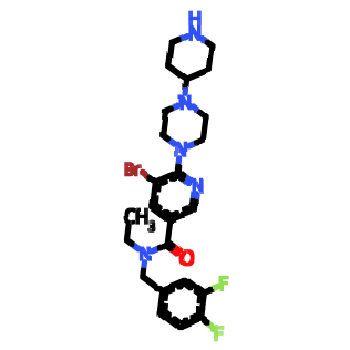 CCN(Cc1ccc(F)c(F)c1)C(=O)c1cnc(N2CCN(C3CCNCC3)CC2)c(Br)c1